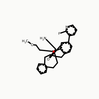 COCCN1C(=O)C2(N=C1N)c1cc(-c3cccnc3F)ccc1CC21CCc2ccccc2CC1